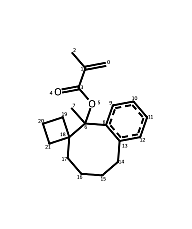 C=C(C)C(=O)OC1(C)c2ccccc2CCCCC12CCC2